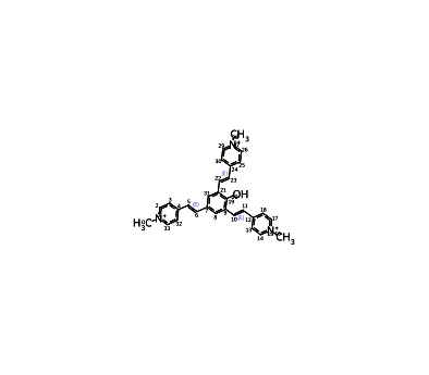 C[n+]1ccc(/C=C/c2cc(/C=C/c3cc[n+](C)cc3)c(O)c(/C=C/c3cc[n+](C)cc3)c2)cc1